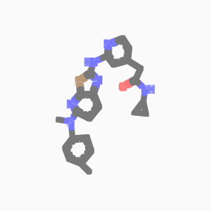 Cc1ccc(N(C)c2ccc3nc(Nc4cc(CC(=O)NC5CC5)ccn4)sc3n2)cc1